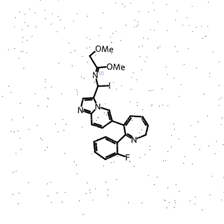 COC/C(=N/C(I)c1cnc2ccc(C3=CC=CCN=C3c3ccccc3F)cn12)OC